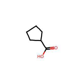 O=C(O)[C]1CCCC1